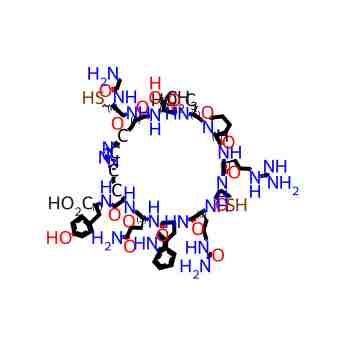 C[C@@H](O)[C@@H]1NC(=O)[C@@H](NC(=O)[C@H](CS)NC(=O)CN)CCc2cn(nn2)CCCC(C(=O)N[C@@H](Cc2ccc(O)cc2)C(=O)O)NC(=O)[C@H](CCC(N)=O)NC(=O)C(Cc2c[nH]c3ccccc23)NC(=O)[C@H](CCCNC(N)=O)NC(=O)C(CS)NC(=O)[C@H](CCCNC(=N)N)NC(=O)[C@@H]2CCCCN2C(=O)[C@H](CC(=O)O)NC1=O